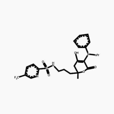 CCCN(C1=C(O)CC(C)(CCCNS(=O)(=O)c2ccc(C(F)(F)F)cn2)OC1=O)c1ccccc1